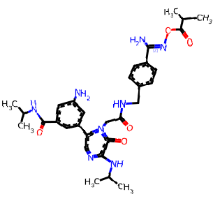 CC(C)NC(=O)c1cc(N)cc(-c2cnc(NC(C)C)c(=O)n2CC(=O)NCc2ccc(/C(N)=N/OC(=O)C(C)C)cc2)c1